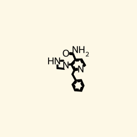 NC(=O)c1ccnc(Cc2ccccc2)c1N1CCNC1